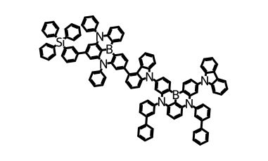 c1ccc(-c2cccc(N3c4cc(-n5c6ccccc6c6ccccc65)ccc4B4c5ccc(-n6c7ccccc7c7c(-c8ccc9c(c8)N(c8ccccc8)c8cc(-c%10cccc([Si](c%11ccccc%11)(c%11ccccc%11)c%11ccccc%11)c%10)cc%10c8B9c8ccccc8N%10c8ccccc8)cccc76)cc5N(c5cccc(-c6ccccc6)c5)c5cccc3c54)c2)cc1